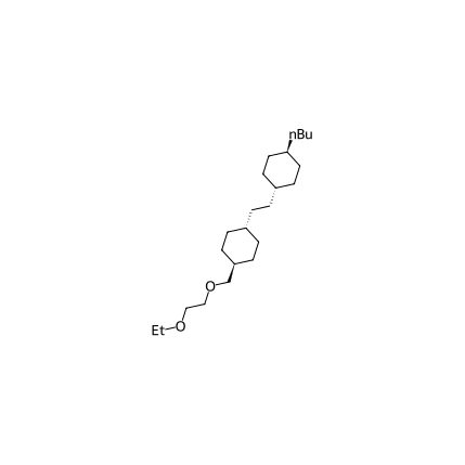 CCCC[C@H]1CC[C@H](CC[C@H]2CC[C@H](COCCOCC)CC2)CC1